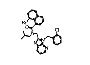 CC(C)CN(Cc1nc2cccnc2n1Cc1ccccc1Cl)C(=O)c1cccc2cccc(Br)c12